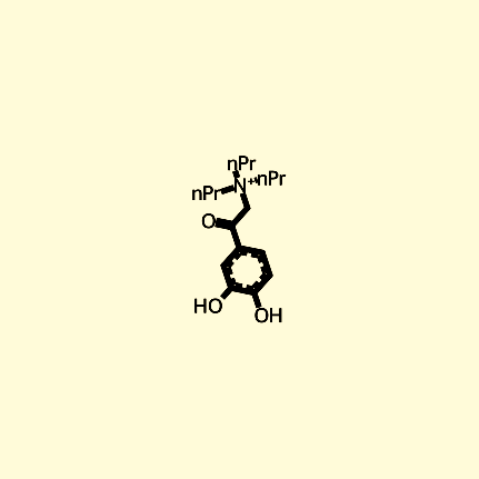 CCC[N+](CCC)(CCC)CC(=O)c1ccc(O)c(O)c1